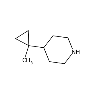 CC1(C2CCNCC2)CC1